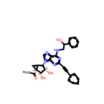 CNC(=O)[C@]12CC1[C@@H](n1cnc3c(NCC(O)c4ccccc4)nc(C#Cc4ccccc4)nc31)[C@H](O)[C@@H]2O